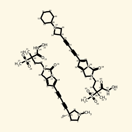 CN1CC[C@@](F)(C#CC#Cc2cc3n(c2)C(=O)N(CCC(C)(C(=O)NO)S(C)(=O)=O)C3)C1.C[C@@](CCN1Cc2cc(C#CC#CC3CN(C4CCCCC4)C3)cn2C1=O)(C(=O)NO)S(C)(=O)=O